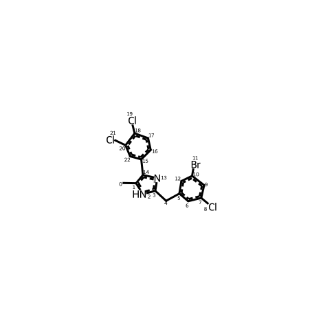 Cc1[nH]c(Cc2cc(Cl)cc(Br)c2)nc1-c1ccc(Cl)c(Cl)c1